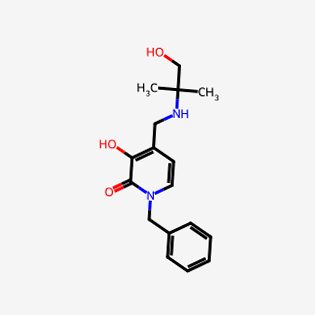 CC(C)(CO)NCc1ccn(Cc2ccccc2)c(=O)c1O